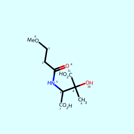 COCCC(=O)NC(C(=O)O)C(C)(O)C(=O)O